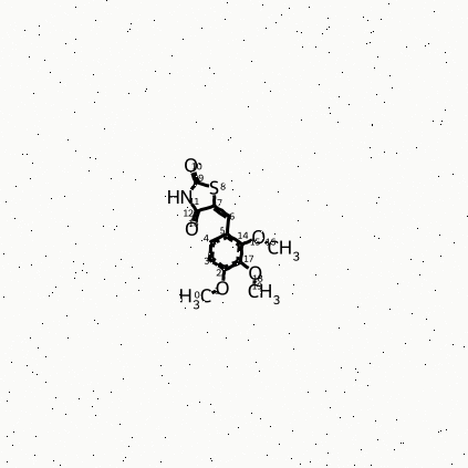 COc1ccc(C=C2SC(=O)NC2=O)c(OC)c1OC